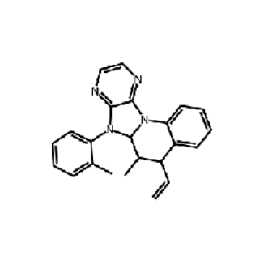 C=CC1c2ccccc2N2c3nccnc3N(c3ccccc3C)C2C1C